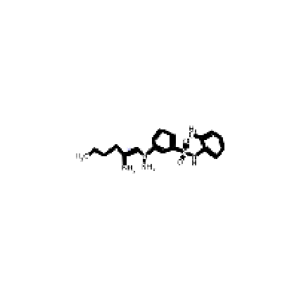 CCCC/C(N)=C/N(N)c1cccc(S(=O)(=O)Nc2ccccc2C)c1